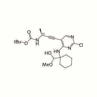 COC(O)C1(Nc2nc(Cl)ncc2C#C[C@H](C)NC(=O)OC(C)(C)C)CCCCC1